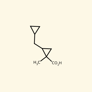 CC1(C(=O)O)CC1CC1CC1